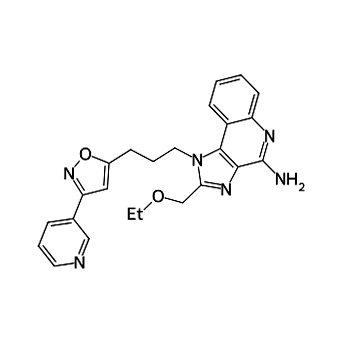 CCOCc1nc2c(N)nc3ccccc3c2n1CCCc1cc(-c2cccnc2)no1